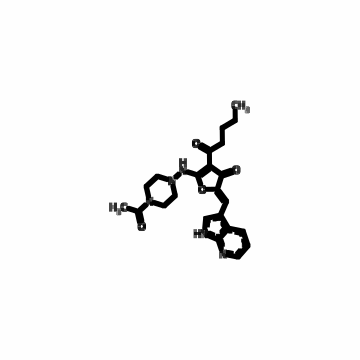 CCCCC(=O)C1=C(NN2CCN(C(C)=O)CC2)O/C(=C\c2c[nH]c3ncccc23)C1=O